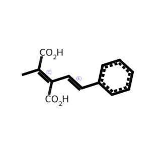 C/C(C(=O)O)=C(/C=C/c1ccccc1)C(=O)O